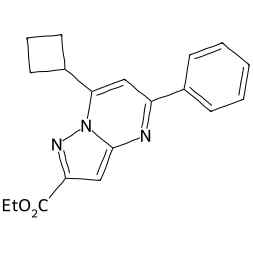 CCOC(=O)c1cc2nc(-c3ccccc3)cc(C3CCC3)n2n1